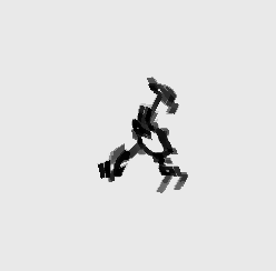 CN/C=C\N(C)C(C)O